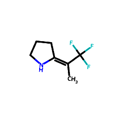 CC(=C1CCCN1)C(F)(F)F